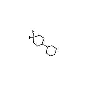 FC1(F)CCC(C2CCCCC2)CC1